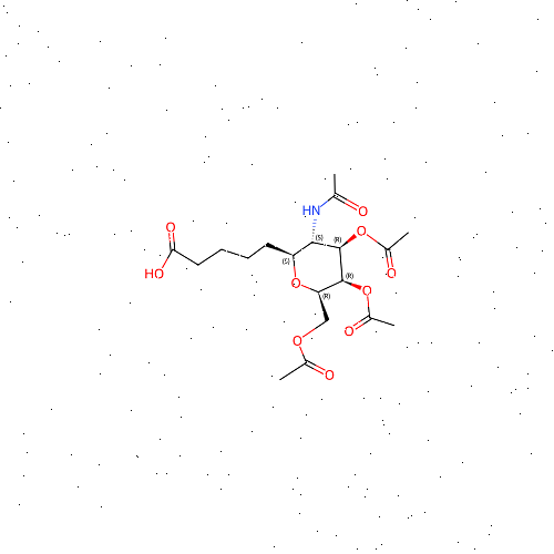 CC(=O)N[C@@H]1[C@@H](OC(C)=O)[C@@H](OC(C)=O)[C@@H](COC(C)=O)O[C@H]1CCCCC(=O)O